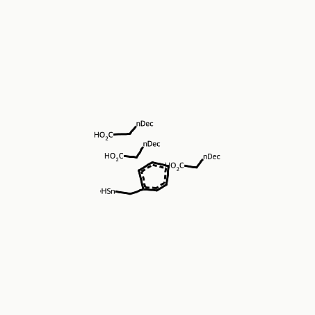 CCCCCCCCCCCC(=O)O.CCCCCCCCCCCC(=O)O.CCCCCCCCCCCC(=O)O.[SnH][CH2]c1ccccc1